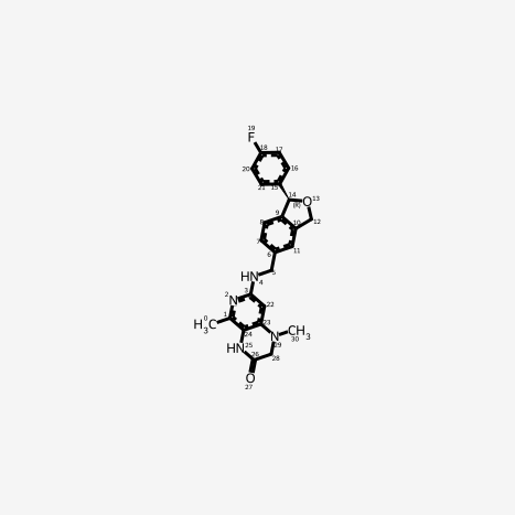 Cc1nc(NCc2ccc3c(c2)CO[C@@H]3c2ccc(F)cc2)cc2c1NC(=O)CN2C